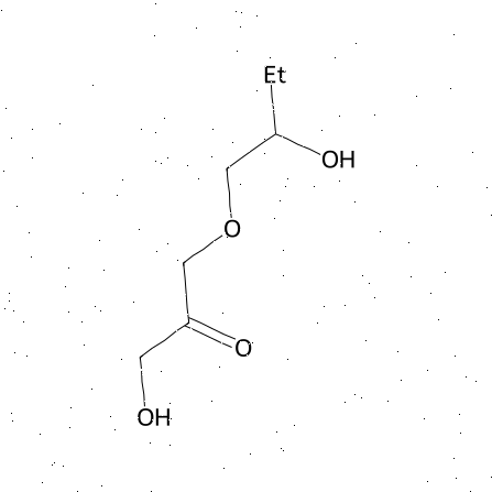 CCC(O)COCC(=O)CO